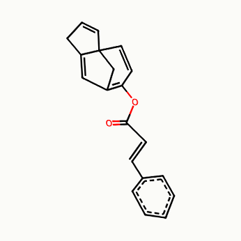 O=C(C=Cc1ccccc1)OC1=C2C=C3CC=CC3(C=C1)C2